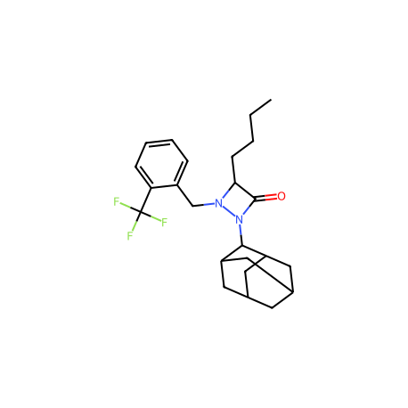 CCCCC1C(=O)N(C2C3CC4CC(C3)CC2C4)N1Cc1ccccc1C(F)(F)F